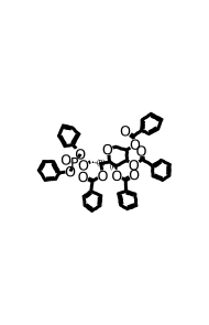 O=C(OC1COC([C@@H](COP(=O)(Oc2ccccc2)Oc2ccccc2)OC(=O)c2ccccc2)[C@@H](OC(=O)c2ccccc2)C1OC(=O)c1ccccc1)c1ccccc1